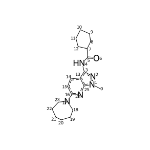 Cn1nc(NC(=O)C2CCCCC2)c2ccc(N3CCCCCC3)nc21